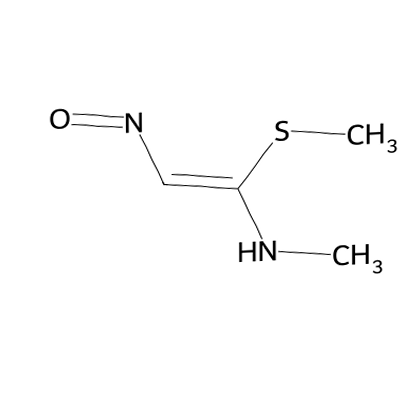 CN/C(=C/N=O)SC